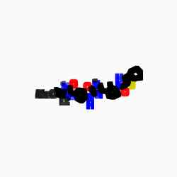 CCC(C)(C)NC(C(=O)N(C)CCOC)c1ccc(Nc2nc(-c3cccc(NC(=O)c4cc5c(s4)CCCC5)c3C)cn(C)c2=O)cc1